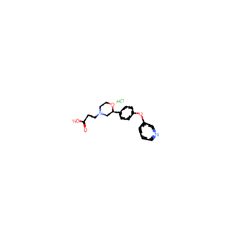 Cl.O=C(O)CCN1CCOC(c2ccc(Oc3cccnc3)cc2)C1